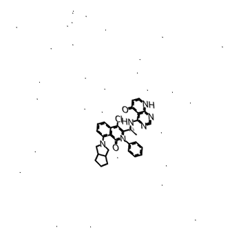 C[C@H](Nc1ncnc2[nH]ccc(=O)c12)c1c(Cl)c2cccc(N3CC4CCCC4C3)c2c(=O)n1-c1ccccc1